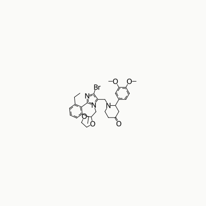 CCc1cccc(CC)c1-c1nc(Br)c(CN2CCC(=O)CC2c2ccc(OC)c(OC)c2)n1CC1OCCO1